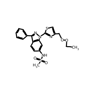 CCOOCc1csc(-n2nc(-c3ccccc3)c3ccc(NS(C)(=O)=O)cc32)n1